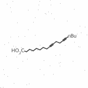 CCCCC#CCCC#CCCCCCCCC(=O)O